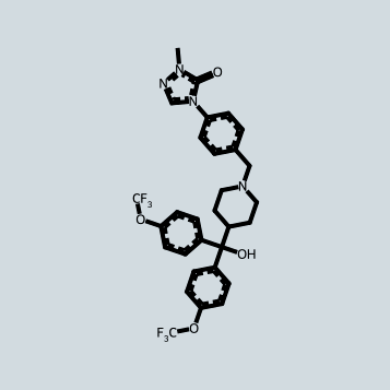 Cn1ncn(-c2ccc(CN3CCC(C(O)(c4ccc(OC(F)(F)F)cc4)c4ccc(OC(F)(F)F)cc4)CC3)cc2)c1=O